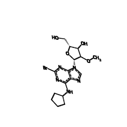 COC1C(O)[C@@H](CO)O[C@H]1n1cnc2c(NC3CCCC3)nc(Br)nc21